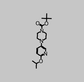 CC(C)Oc1ccc(N2CCN(C(=O)OC(C)(C)C)CC2)cn1